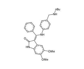 CCCCNCc1ccc(NC(=C2C(=O)Nc3cc(OC)c(OC)cc32)c2ccccc2)cc1